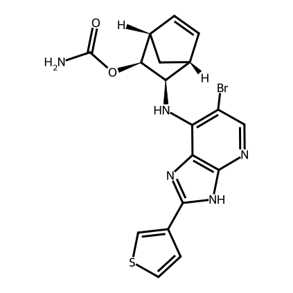 NC(=O)O[C@@H]1[C@H](Nc2c(Br)cnc3[nH]c(-c4ccsc4)nc23)[C@H]2C=C[C@@H]1C2